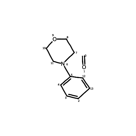 C=O.c1ccc(N2CCOCC2)cc1